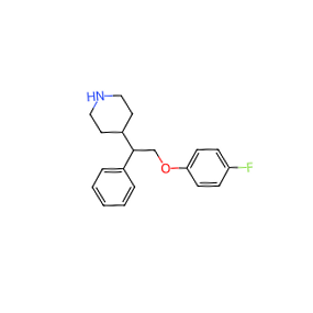 Fc1ccc(OCC(c2ccccc2)C2CCNCC2)cc1